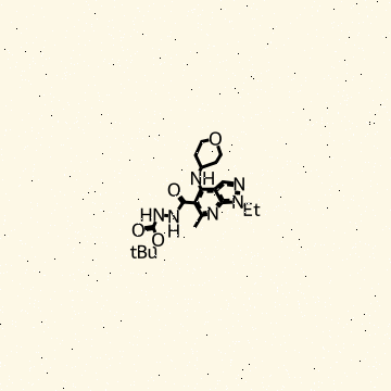 CCn1ncc2c(NC3CCOCC3)c(C(=O)NNC(=O)OC(C)(C)C)c(C)nc21